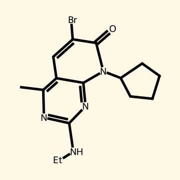 CCNc1nc(C)c2cc(Br)c(=O)n(C3CCCC3)c2n1